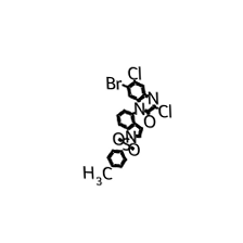 Cc1ccc(S(=O)(=O)n2ccc3c(-n4c(=O)c(Cl)nc5cc(Cl)c(Br)cc54)cccc32)cc1